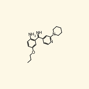 CCCOc1ccc(N)c(C(=N)c2ccnc(N3CCCCC3)c2)c1